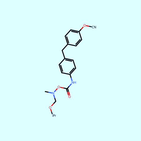 CC(C)OCN(C)OC(=O)Nc1ccc(Cc2ccc(OC#N)cc2)cc1